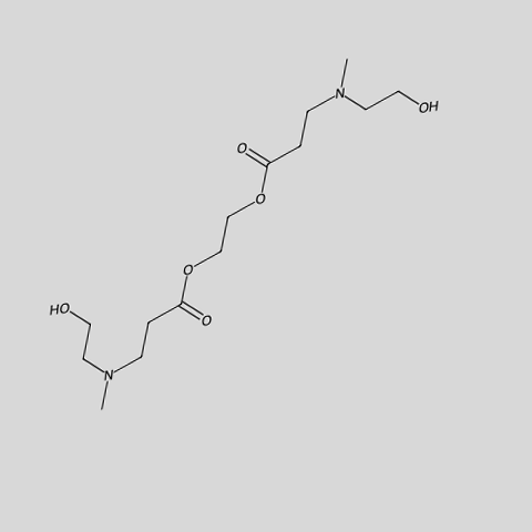 CN(CCO)CCC(=O)OCCOC(=O)CCN(C)CCO